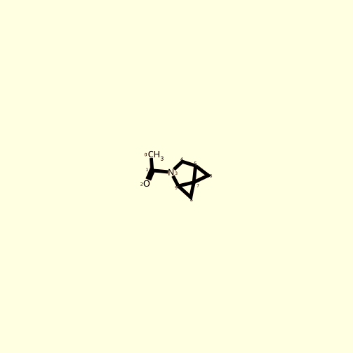 CC(=O)N1CC2CC23CC13